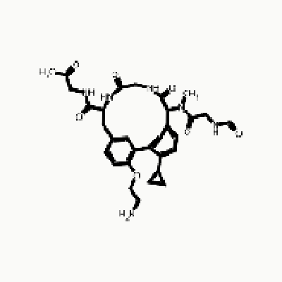 CC(=O)CNC(=O)C1Cc2ccc(OCCN)c(c2)-c2cc(ccc2C2CC2)C(N(C)C(=O)CNC=O)C(=O)NCC(=O)N1